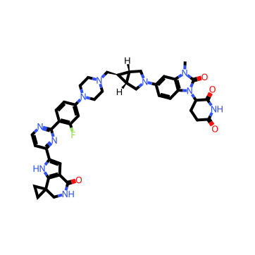 Cn1c(=O)n(C2CCC(=O)NC2=O)c2ccc(N3C[C@@H]4[C@@H](CN5CCN(c6ccc(-c7nccc(-c8cc9c([nH]8)C8(CC8)CNC9=O)n7)c(F)c6)CC5)[C@@H]4C3)cc21